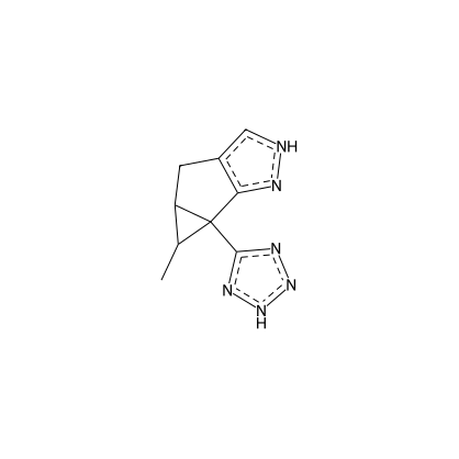 CC1C2Cc3c[nH]nc3C12c1nn[nH]n1